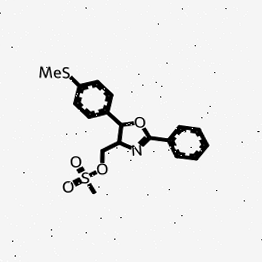 CSc1ccc(C2OC(c3ccccc3)=NC2COS(C)(=O)=O)cc1